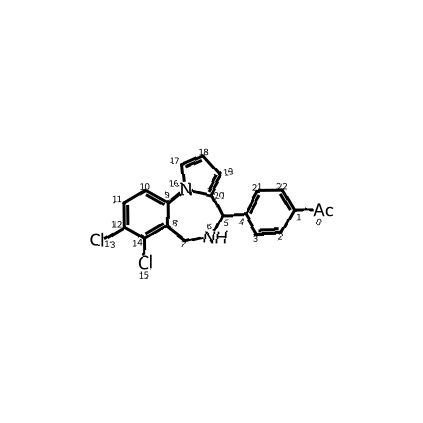 CC(=O)c1ccc(C2NCc3c(ccc(Cl)c3Cl)-n3cccc32)cc1